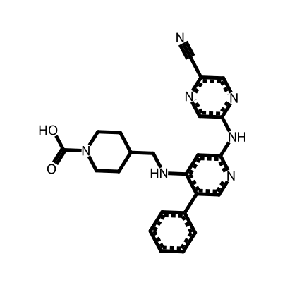 N#Cc1cnc(Nc2cc(NCC3CCN(C(=O)O)CC3)c(-c3ccccc3)cn2)cn1